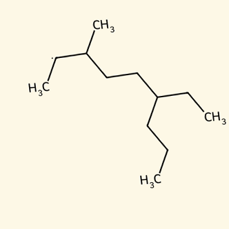 C[CH]C(C)CCC(CC)CCC